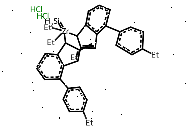 CCC1=Cc2c(-c3ccc(CC)cc3)cccc2[CH]1[Zr](=[SiH2])([CH2]C)([CH2]C)[CH]1C(C)=Cc2c(-c3ccc(CC)cc3)cccc21.Cl.Cl